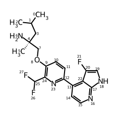 CC(C)C[C@](C)(N)COc1ccc(-c2ccnc3[nH]cc(F)c23)nc1C(F)F